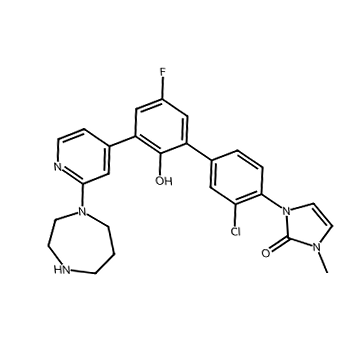 Cn1ccn(-c2ccc(-c3cc(F)cc(-c4ccnc(N5CCCNCC5)c4)c3O)cc2Cl)c1=O